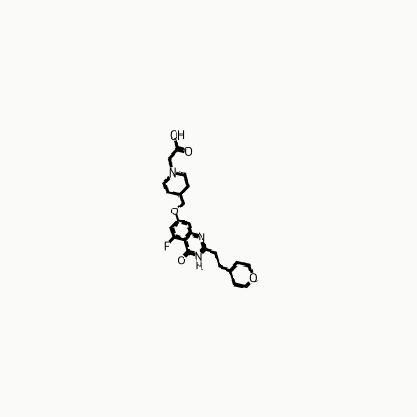 O=C(O)CN1CCC(COc2cc(F)c3c(=O)[nH]c(CCC4CCOCC4)nc3c2)CC1